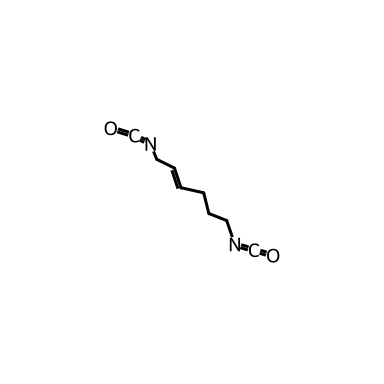 O=C=NC/C=C/CCCN=C=O